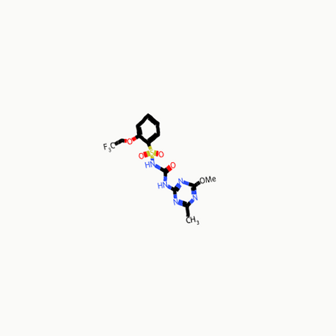 COc1nc(C)nc(NC(=O)NS(=O)(=O)c2ccccc2OCC(F)(F)F)n1